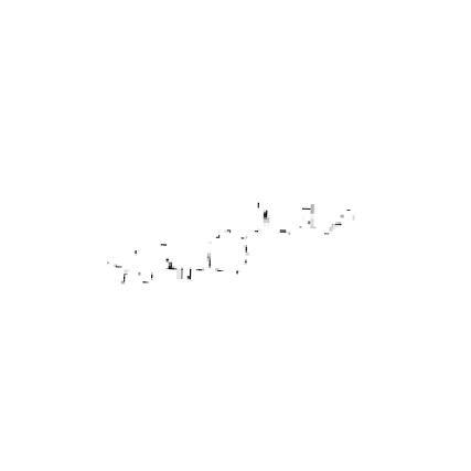 CC(C)(C)OC(=O)NC1CCC(C(=O)NNC=O)CC1